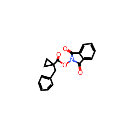 O=C1c2ccccc2C(=O)N1OC(=O)C1(Cc2ccccc2)CC1